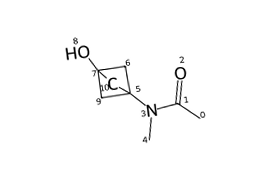 CC(=O)N(C)C12CC(O)(C1)C2